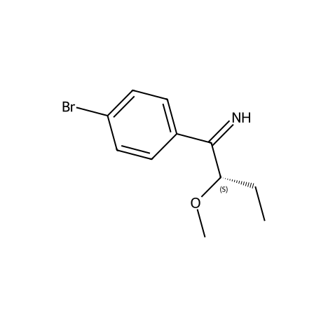 CC[C@H](OC)C(=N)c1ccc(Br)cc1